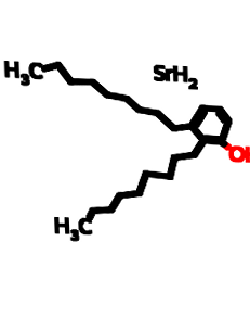 CCCCCCCCCc1cccc(O)c1CCCCCCCCC.[SrH2]